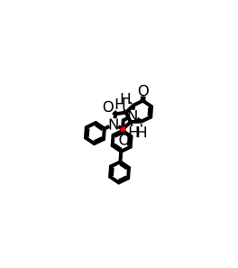 O=C1C=C[C@H]2[C@@H]3C(=O)N(c4ccccc4)C(=O)[C@@H]3[C@@H]1N2Cc1ccc(-c2ccccc2)cc1